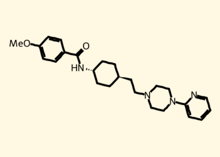 COc1ccc(C(=O)N[C@H]2CC[C@H](CCN3CCN(c4ccccn4)CC3)CC2)cc1